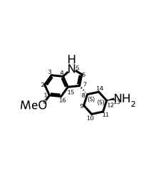 COc1ccc2[nH]cc([C@H]3CCC[C@H](N)C3)c2c1